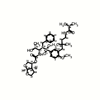 COc1ccc(S(=O)(=O)N(Cc2ccccc2)[C@H](NC(=O)O[C@@H]2CO[C@@H]3OCC[C@@H]32)[C@@H](C)O)cc1CC(C)(C)CCNC(=O)N(C)C